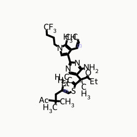 C=C(S/C=C(\CC)CC(C)(C)C(C)=O)[C@](C)(C(=O)CC)c1c(C)nc(-c2cn(CCCC(F)(F)F)c(C)c2/C=C\C)nc1N